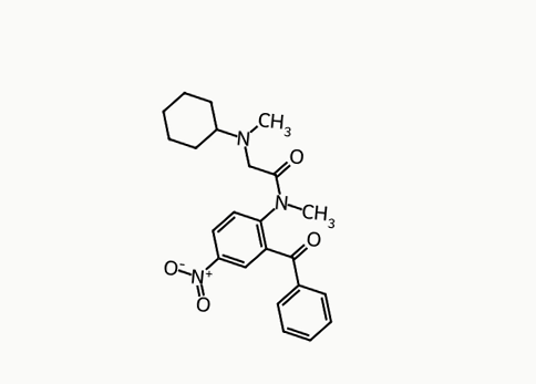 CN(C(=O)CN(C)C1CCCCC1)c1ccc([N+](=O)[O-])cc1C(=O)c1ccccc1